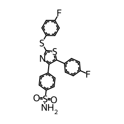 NS(=O)(=O)c1ccc(-c2nc(Sc3ccc(F)cc3)sc2-c2ccc(F)cc2)cc1